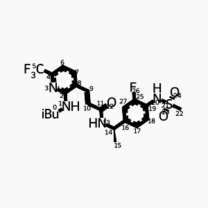 CCC(C)Nc1nc(C(F)(F)F)ccc1/C=C/C(=O)N[C@H](C)c1ccc(NS(C)(=O)=O)c(F)c1